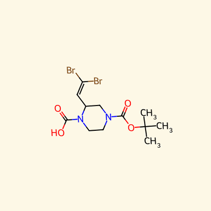 CC(C)(C)OC(=O)N1CCN(C(=O)O)C(C=C(Br)Br)C1